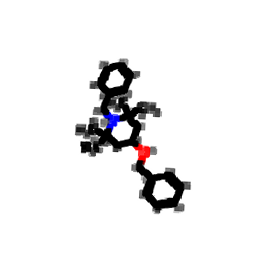 CC1(C)CC(OCc2ccccc2)CC(C)(C)N1Cc1ccccc1